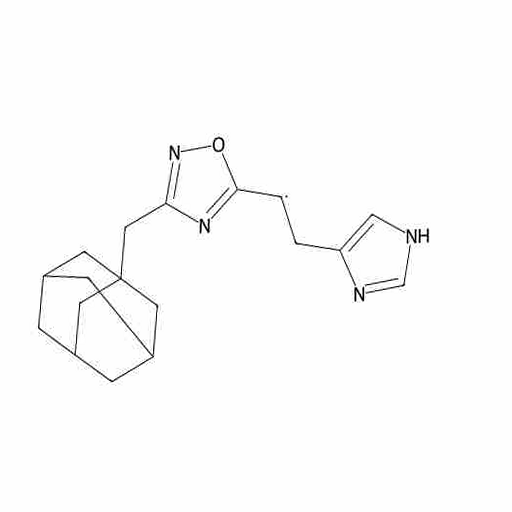 [CH](Cc1c[nH]cn1)c1nc(CC23CC4CC(CC(C4)C2)C3)no1